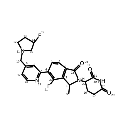 CC1c2c(ccc(-c3cc(CN4CCC(F)C4)ccn3)c2F)C(=O)N1C1CCC(=O)NC1=O